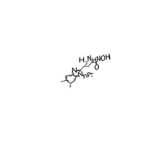 CCCn1c(CCC(N)C(=O)NO)nc2cc(C)c(C)cc21